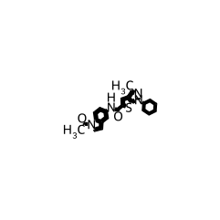 CC(=O)n1ccc2cc(NC(=O)c3cc4c(C)nn(C5CCCCC5)c4s3)ccc21